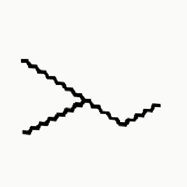 CCCCCCCC/C=C\CCCCCCCC(C=CCCCCCCCCCCCC)CCCCCCCCCCCCCC